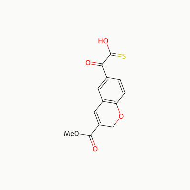 COC(=O)C1=Cc2cc(C(=O)C(O)=S)ccc2OC1